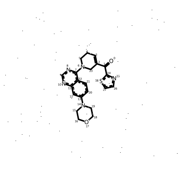 O=C(C1=CCCN(c2ncnc3cc(N4CCOCC4)ccc23)C1)c1nccs1